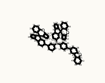 c1cc(-c2ccc3c(c2)C2(c4ccccc4Oc4ccccc42)c2ccccc2-3)cc(N(c2ccc(-c3ccc4oc5ccccc5c4c3)cc2)c2ccc3c(c2)C2(c4ccccc4Oc4ccccc42)c2ccccc2-3)c1